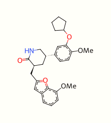 COc1ccc([C@H]2CNC(=O)[C@H](Cc3cc4cccc(OC)c4o3)C2)cc1OC1CCCC1